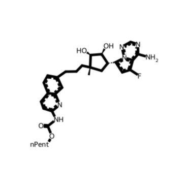 CCCCCOC(=O)Nc1ccc2ccc(CCC[C@@]3(C)C[C@@H](c4cc(F)c5c(N)ncnn45)[C@H](O)[C@@H]3O)cc2n1